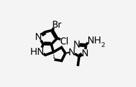 Cc1nc(N)nn1[C@H]1CC[C@@]2(CNc3ncc(Br)c(Cl)c32)C1